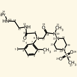 Cc1ccc(I)cc1N(CC(=O)NCCNC(C)C)CC(=O)N(C)N1CCN(S(C)(=O)=O)CC1